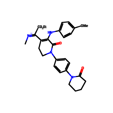 CCOC(=O)/C(=N/C)C1=C(Nc2ccc(OC)cc2)C(=O)N(c2ccc(N3CCCCC3=O)cc2)CC1